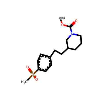 CCCCOC(=O)N1CCCC(CCc2ccc(S(C)(=O)=O)cc2)C1